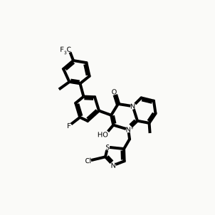 Cc1cc(C(F)(F)F)ccc1-c1cc(F)cc(-c2c(O)[n+](Cc3cnc(Cl)s3)c3c(C)cccn3c2=O)c1